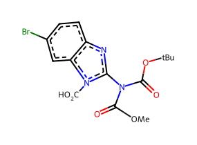 COC(=O)N(C(=O)OC(C)(C)C)c1nc2ccc(Br)cc2n1C(=O)O